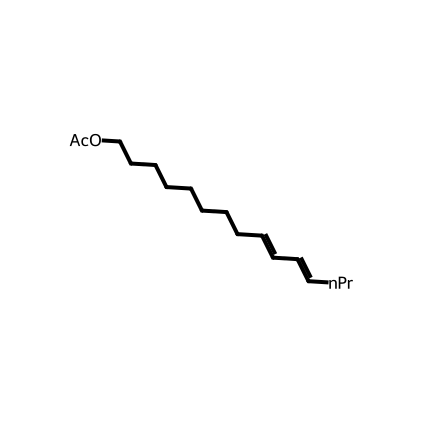 CCCC=CC=CCCCCCCCCOC(C)=O